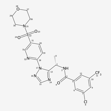 C[C@H](NC(=O)c1cc(Cl)cc(C(F)(F)F)c1)c1ncnn1-c1ccc(S(=O)(=O)N2CCOCC2)cn1